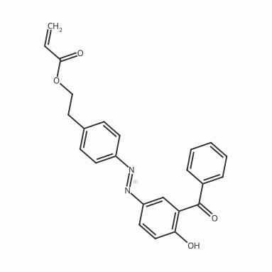 C=CC(=O)OCCc1ccc(/N=N/c2ccc(O)c(C(=O)c3ccccc3)c2)cc1